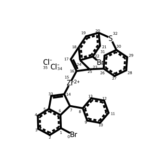 Brc1cccc2c1C(c1ccccc1)[C]([Zr+2][C]1=Cc3cc4cc(Br)c3C1c1cccc(c1)S4)=C2.[Cl-].[Cl-]